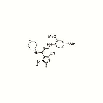 C=Nc1[nH]cc(C#N)c1/C(=N\CNc1ccc(SC)cc1OC)NC1CCOCC1